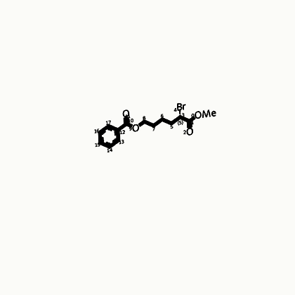 COC(=O)[C@@H](Br)CCCCOC(=O)c1ccccc1